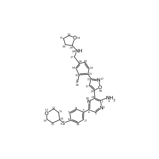 Nc1ncc(-c2ccc(SC3CCOCC3)cc2)nc1-c1cc(-c2ccc(CNC3CCCO3)cc2F)no1